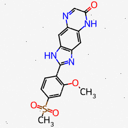 COc1cc(S(C)(=O)=O)ccc1-c1nc2cc3[nH]c(=O)cnc3cc2[nH]1